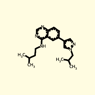 CC(C)CCNc1ncnc2ccc(-c3cnn(CC(C)C)c3)cc12